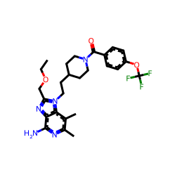 CCOCc1nc2c(N)nc(C)c(C)c2n1CCC1CCN(C(=O)c2ccc(OC(F)(F)F)cc2)CC1